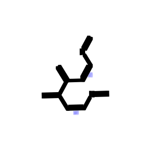 C=N/C=C\C(=C)C(=C)/C=C\N=C